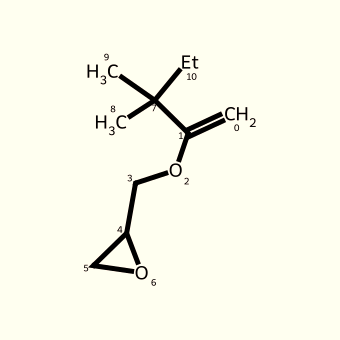 C=C(OCC1CO1)C(C)(C)CC